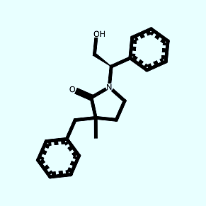 CC1(Cc2ccccc2)CCN([C@@H](CO)c2ccccc2)C1=O